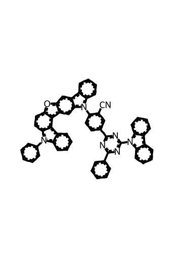 N#Cc1cc(-c2nc(-c3ccccc3)nc(-n3c4ccccc4c4ccccc43)n2)ccc1-n1c2ccccc2c2cc3oc4ccc5c(c6ccccc6n5-c5ccccc5)c4c3cc21